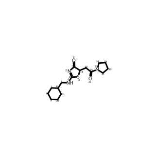 O=C1N=C(NCC2CCCCC2)SC1CC(=O)N1CCCC1